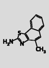 Cc1cc2ccccc2c2sc(N)nc12